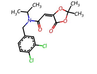 CC(C)N(Cc1ccc(Cl)c(Cl)c1)C(=O)C=C1OC(C)(C)OC1=O